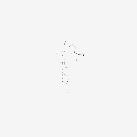 Nc1ncc(C(=O)O)cc1OC1CN(C(=O)Cc2ccc(OC(F)(F)F)cc2)CC1(F)F